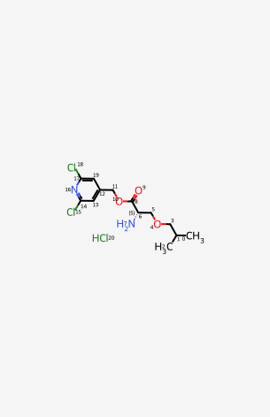 CC(C)COC[C@H](N)C(=O)OCc1cc(Cl)nc(Cl)c1.Cl